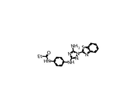 CCC(=O)Nc1ccc(Nc2nc(N)n(-c3nc4ccccc4s3)n2)cc1